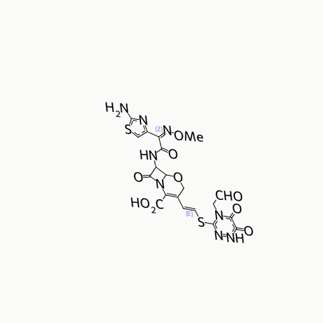 CO/N=C(\C(=O)NC1C(=O)N2C(C(=O)O)=C(/C=C/Sc3n[nH]c(=O)c(=O)n3CC=O)COC12)c1csc(N)n1